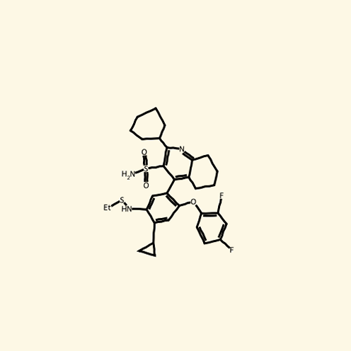 CCSNc1cc(-c2c3c(nc(C4CCCCC4)c2S(N)(=O)=O)CCCC3)c(Oc2ccc(F)cc2F)cc1C1CC1